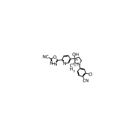 C[C@@H]1N(c2ccc(C#N)c(Cl)c2)CC[C@@]1(O)c1ccc(-c2nnc(C#N)o2)nc1